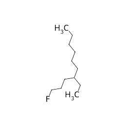 CCCCCCC(CC)CCCF